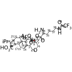 CC(=O)O[C@@H]1C[C@@]23COC[C@](C)([C@@H]2CC[C@H]2C3=CC[C@@]3(C)[C@H](C(=O)O)[C@@](C)([C@H](C)C(C)C)CC[C@]23C)[C@H]1OC(=O)C(N)CCCCNC(=O)C(F)(F)F